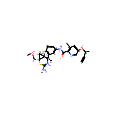 C#C[C@H](C)Oc1cnc(C(=O)Nc2ccc(F)c([C@]3(C)N=C(N)S[C@@]4(COC)C[C@H]43)c2)c(C)c1